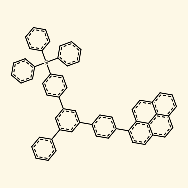 c1ccc(-c2cc(-c3ccc(-c4ccc5ccc6cccc7ccc4c5c67)cc3)cc(-c3ccc([Si](c4ccccc4)(c4ccccc4)c4ccccc4)cc3)c2)cc1